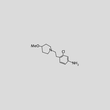 COC1CCN(CCc2ccc(N)cc2Cl)CC1